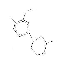 COc1cc(N2CCNC(C)C2)ccc1Cl.Cl.Cl